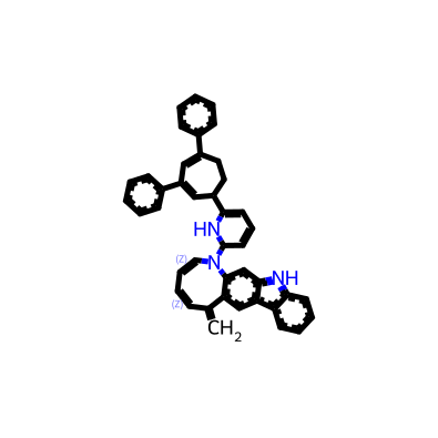 C=C1/C=C\C=C/N(C2C=CC=C(C3C=C(c4ccccc4)C=C(c4ccccc4)CC3)N2)c2cc3[nH]c4ccccc4c3cc21